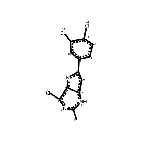 Cc1nc(Cl)c2nc(-c3ccc(Cl)c(Cl)c3)cc-2[nH]1